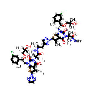 CCc1ccc(F)cc1[C@H](Cn1c(=O)n(C(C)(C)C(=O)NC(C)Cc2cnn(-c3sc4c(c3C)c(=O)n(C(C)(C)C(=O)NC(C)C)c(=O)n4C[C@@H](OCC(C)(C)O)c3cc(F)ccc3CC)n2)c(=O)c2c(C)c(-n3nccn3)sc21)OCC(C)(C)O